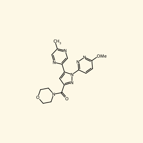 COc1ccc(-n2nc(C(=O)N3CCOCC3)cc2-c2cnc(C)cn2)nn1